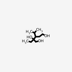 CCC(O)(CO)C(CCO)C(C)C